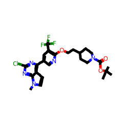 Cn1ccc2c(-c3cnc(OCCC4CCN(C(=O)OC(C)(C)C)CC4)c(C(F)(F)F)c3)nc(Cl)nc21